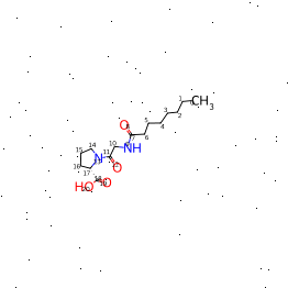 CCCCCCCC(=O)NCC(=O)N1CCC[C@H]1C(=O)O